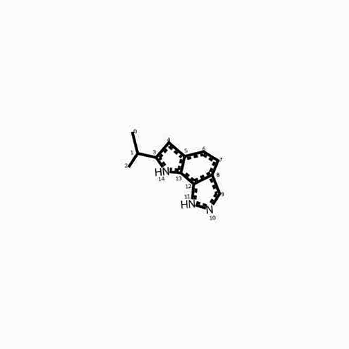 CC(C)c1cc2ccc3cn[nH]c3c2[nH]1